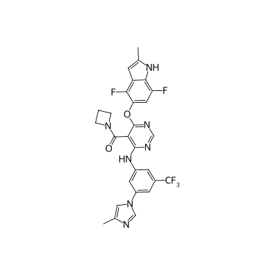 Cc1cn(-c2cc(Nc3ncnc(Oc4cc(F)c5[nH]c(C)cc5c4F)c3C(=O)N3CCC3)cc(C(F)(F)F)c2)cn1